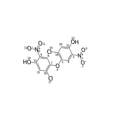 O=[N+]([O-])c1cc(Oc2cc([N+](=O)[O-])c(O)cc2Cl)c(Cl)cc1O